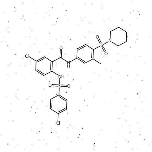 Cc1cc(NC(=O)c2cc(Cl)ccc2NS(=O)(=O)c2ccc(Cl)cc2)ccc1S(=O)(=O)N1CCCCC1